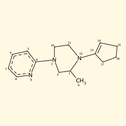 CC1CN(c2ccccn2)CCN1C1=CCCC1